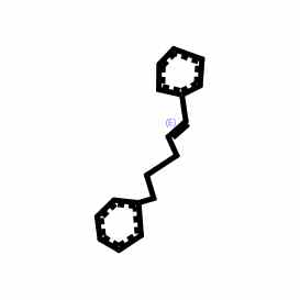 C(=C\c1ccccc1)/CCCc1ccccc1